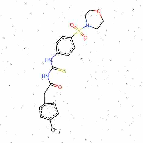 Cc1ccc(CC(=O)NC(=S)Nc2ccc(S(=O)(=O)N3CCOCC3)cc2)cc1